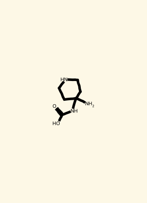 NC1(NC(=O)O)CCNCC1